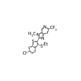 CCSc1c(-c2nc3cc(C(F)(F)F)ncc3n2C)sc2cc(Cl)ccc12